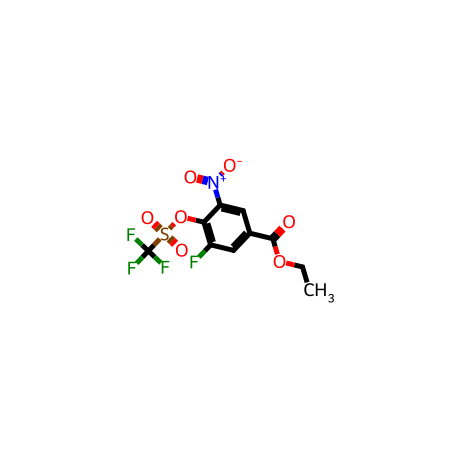 CCOC(=O)c1cc(F)c(OS(=O)(=O)C(F)(F)F)c([N+](=O)[O-])c1